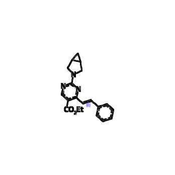 CCOC(=O)c1cnc(N2CC3CC3C2)nc1/C=C/c1ccccc1